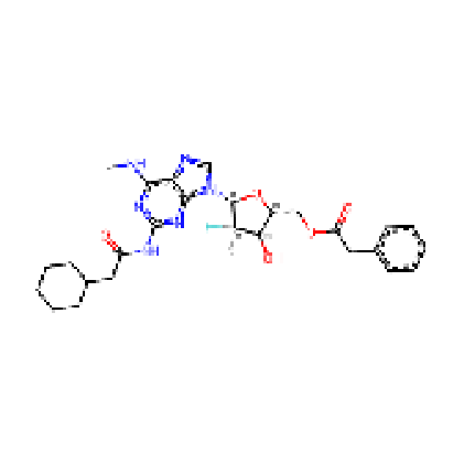 CNc1nc(NC(=O)CC2CCCCC2)nc2c1ncn2[C@@H]1O[C@H](COC(=O)Cc2ccccc2)[C@@H](O)[C@@]1(C)F